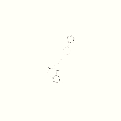 O=C1COc2ccc([N+](=O)[O-])cc2C(=O)N1CCCCN1CCN(c2ncccn2)CC1